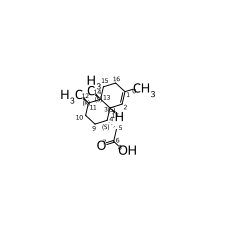 CC1=C[C@@H]2[C@H](CC(=O)O)CC[C@@H](C)[C@]2(C)CC1